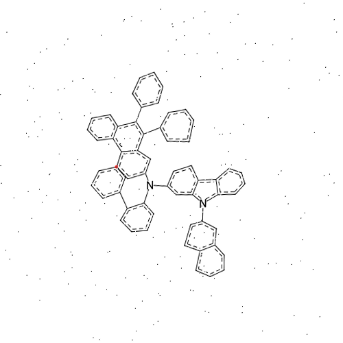 c1ccc(-c2ccccc2N(c2ccc3c(c2)c(-c2ccccc2)c(-c2ccccc2)c2ccccc23)c2ccc3c4ccccc4n(-c4ccc5ccccc5c4)c3c2)cc1